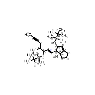 CC#CCC(C)[C@@H](/C=C/[C@H]1[C@@H](O[Si](C)(C)C(C)(C)C)C=C2CCC[C@H]21)O[Si](C)(C)C(C)(C)C